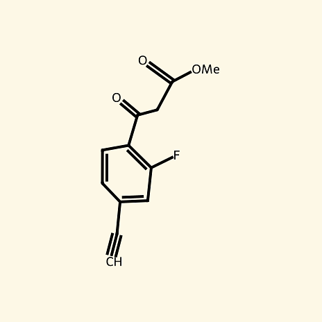 C#Cc1ccc(C(=O)CC(=O)OC)c(F)c1